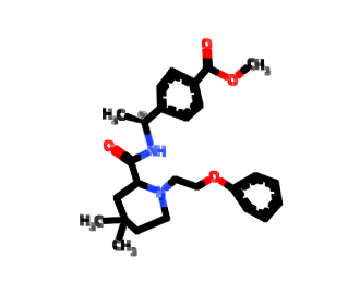 COC(=O)c1ccc([C@H](C)NC(=O)C2CC(C)(C)CCN2CCOc2ccccc2)cc1